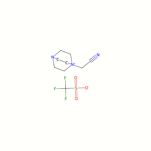 N#CC[N+]12CCN(CC1)CC2.O=S(=O)([O-])C(F)(F)F